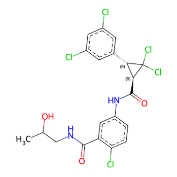 CC(O)CNC(=O)c1cc(NC(=O)[C@H]2[C@H](c3cc(Cl)cc(Cl)c3)C2(Cl)Cl)ccc1Cl